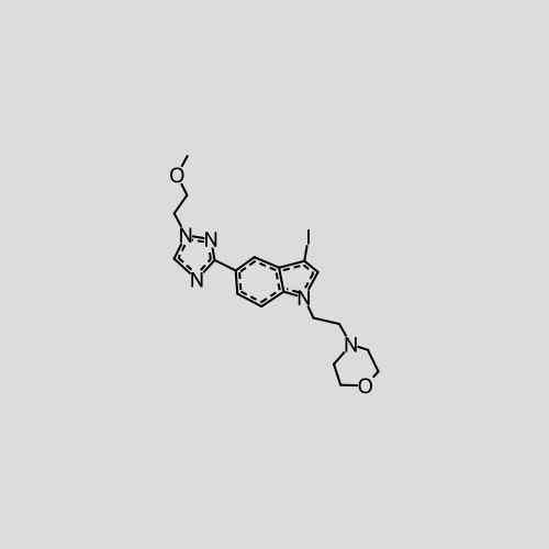 COCCn1cnc(-c2ccc3c(c2)c(I)cn3CCN2CCOCC2)n1